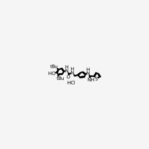 CC(C)(C)c1cc(NC(=O)NCc2ccc(NC(=N)c3cccs3)cc2)cc(C(C)(C)C)c1O.Cl